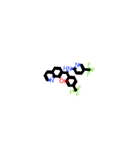 Oc1c(C(Nc2ccc(C(F)(F)F)cn2)c2ccc(C(F)(F)F)cc2)ccc2cccnc12